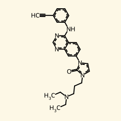 C#Cc1cccc(Nc2ncnc3cc(-n4ccn(CCCN(CC)CC)c4=O)ccc23)c1